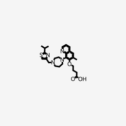 Cc1cc2cccnc2c(N2CCCN(Cc3csc(C(C)C)n3)CC2)c1OCCCC(=O)O